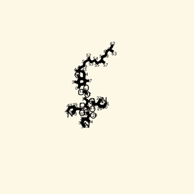 Cc1c(C)c2c(c(C)c1OC(=O)OCC(OC(=O)c1cccnc1)C(COC(=O)c1cccnc1)OC(=O)c1cccnc1)CCC(C)(CCCC(C)CCCC(C)CCCC(C)C)O2